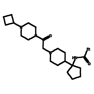 CCC(=O)NC1(C2CCN(CC(=O)N3CCN(C4CCC4)CC3)CC2)CCCC1